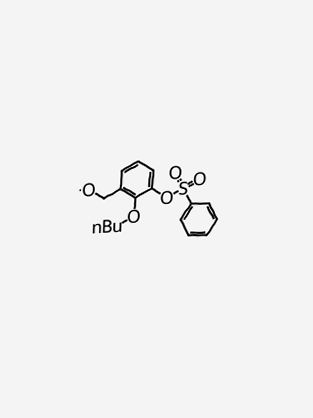 CCCCOc1c(C[O])cccc1OS(=O)(=O)c1ccccc1